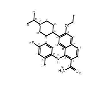 CCOc1cc2ncc(C(N)=O)c(Nc3ccc(F)cc3F)c2cc1C1CCN(C(C)C)CC1